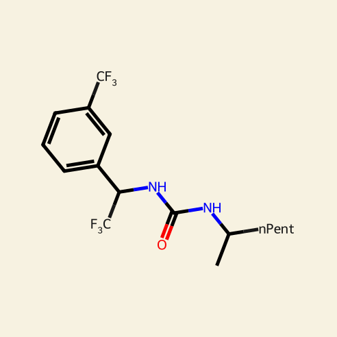 CCCCCC(C)NC(=O)NC(c1cccc(C(F)(F)F)c1)C(F)(F)F